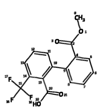 COC(=O)c1ccccc1-c1cccc(C(F)(F)F)c1C(=O)O